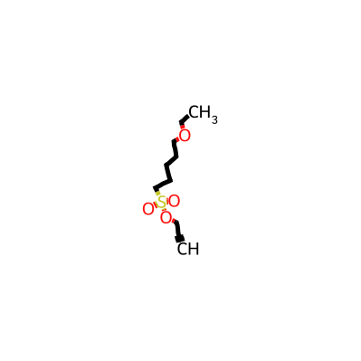 C#CCOS(=O)(=O)CCCCCOCC